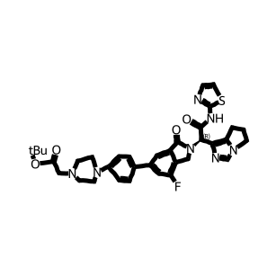 CC(C)(C)OC(=O)CN1CCN(c2ccc(-c3cc(F)c4c(c3)C(=O)N([C@@H](C(=O)Nc3nccs3)c3ncn5c3CCC5)C4)cc2)CC1